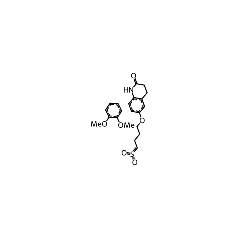 COc1ccccc1OC.O=C1CCc2cc(OCCCC=S(=O)=O)ccc2N1